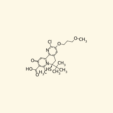 COCCCOc1cc2c(nc1Cl)-c1cc(=O)c(C(=O)O)c(C)n1[C@@](S)(C(C)(C)C)C2